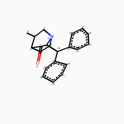 CC1CN2CCC1C(=O)C2C(c1ccccc1)c1ccccc1